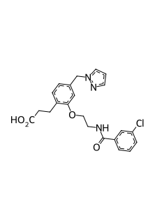 O=C(O)CCc1ccc(Cn2cccn2)cc1OCCNC(=O)c1cccc(Cl)c1